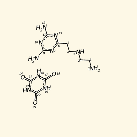 NCCNCCc1nc(N)nc(N)n1.O=c1[nH]c(=O)[nH]c(=O)[nH]1